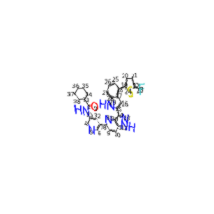 O=C(Nc1cncc(-c2ccc3[nH]nc(-c4cc5c(-c6ccc(F)s6)cccc5[nH]4)c3n2)c1)C1CCCCC1